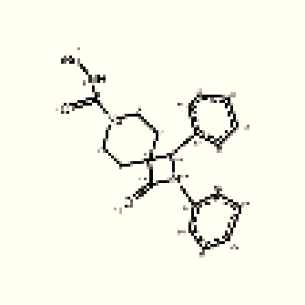 CCCCNC(=O)N1CCC2(CC1)C(=O)N(c1ccccc1)C2c1ccccc1